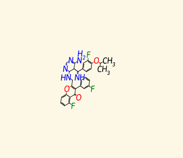 CC(C)Oc1ccc(C(=N)C2C(N)=NC=NC2NCc2oc3cccc(F)c3c(=O)c2-c2cccc(F)c2)cc1F